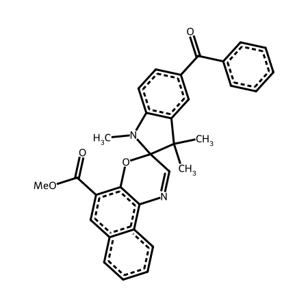 COC(=O)c1cc2ccccc2c2c1OC1(C=N2)N(C)c2ccc(C(=O)c3ccccc3)cc2C1(C)C